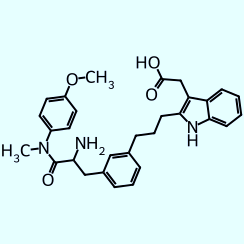 COc1ccc(N(C)C(=O)C(N)Cc2cccc(CCCc3[nH]c4ccccc4c3CC(=O)O)c2)cc1